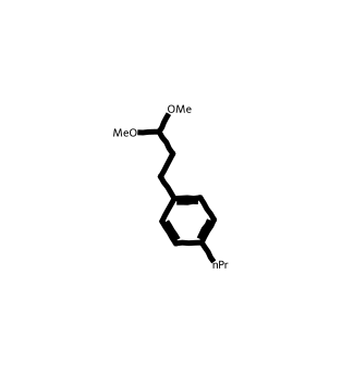 CCCc1ccc(CCC(OC)OC)cc1